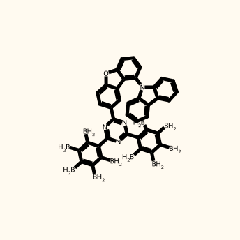 Bc1c(B)c(B)c(-c2nc(-c3ccc4oc5cccc(-n6c7ccccc7c7ccccc76)c5c4c3)nc(-c3c(B)c(B)c(B)c(B)c3B)n2)c(B)c1B